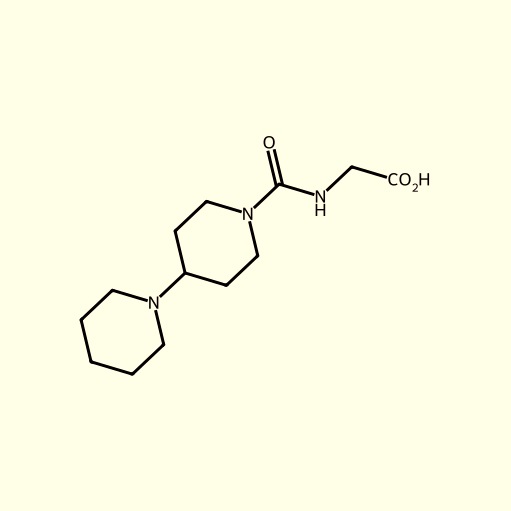 O=C(O)CNC(=O)N1CCC(N2CCCCC2)CC1